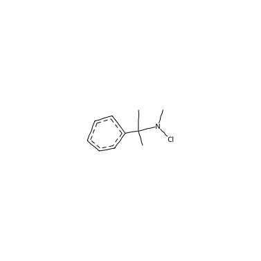 CN(Cl)C(C)(C)c1ccccc1